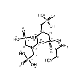 NCCN.O=P(O)(O)CN(CCN(CP(=O)(O)O)CP(=O)(O)O)CP(=O)(O)O